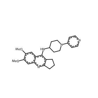 COc1cc2nc3c(c(NC4CCN(c5ccncc5)CC4)c2cc1OC)CCC3